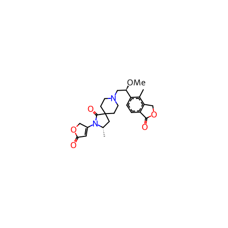 CO[C@H](CN1CCC2(CC1)C[C@H](C)N(C1=CC(=O)OC1)C2=O)c1ccc2c(c1C)COC2=O